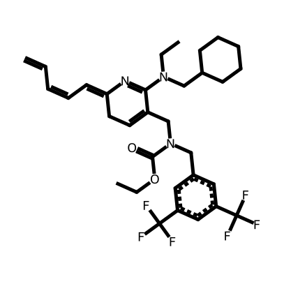 C=C/C=C\C=C1/CC=C(CN(Cc2cc(C(F)(F)F)cc(C(F)(F)F)c2)C(=O)OCC)C(N(CC)CC2CCCCC2)=N1